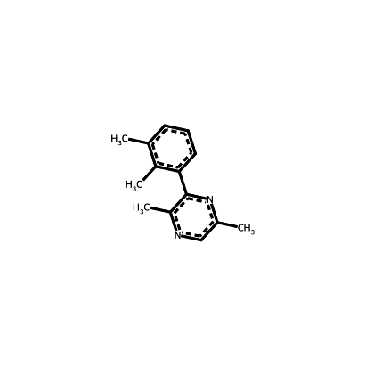 Cc1cnc(C)c(-c2cccc(C)c2C)n1